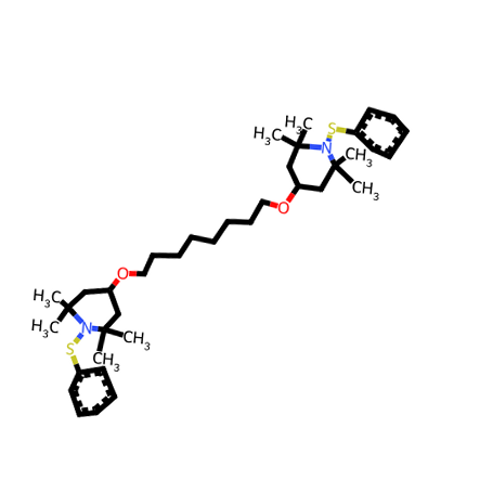 CC1(C)CC(OCCCCCCCCOC2CC(C)(C)N(Sc3ccccc3)C(C)(C)C2)CC(C)(C)N1Sc1ccccc1